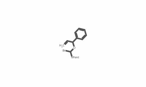 C=CC(OC(Br)CCCCC)c1ccccc1